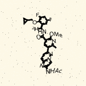 [2H]C(NC(=O)c1cc(-c2ccc3nc(NC(C)=O)cn3n2)c(C)nc1OC)c1cc(F)cc(F)c1OCC1CC1